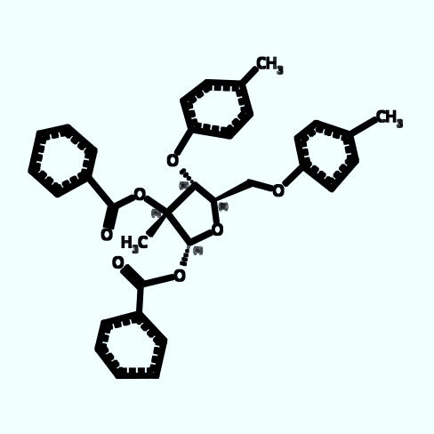 Cc1ccc(OC[C@H]2O[C@H](OC(=O)c3ccccc3)[C@](C)(OC(=O)c3ccccc3)[C@@H]2Oc2ccc(C)cc2)cc1